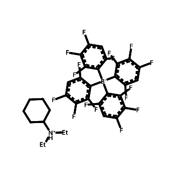 CC[NH+](CC)C1CCCCC1.Fc1cc(F)c([B-](c2c(F)cc(F)c(F)c2F)(c2c(F)cc(F)c(F)c2F)c2c(F)cc(F)c(F)c2F)c(F)c1F